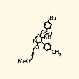 COCC#CCOc1ncnc(NS(=O)(=O)c2ccc(C(C)(C)C)cc2)c1-c1ccc(C)cc1